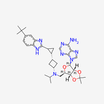 CC(C)N(C[C@H]1O[C@@H](n2cnc3c(N)ncnc32)[C@@H]2OC(C)(C)O[C@@H]21)[C@H]1C[C@@H](C2CC2c2nc3cc(C(C)(C)C)ccc3[nH]2)C1